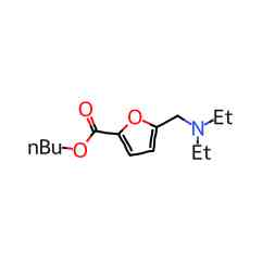 CCCCOC(=O)c1ccc(CN(CC)CC)o1